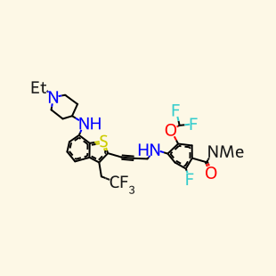 CCN1CCC(Nc2cccc3c(CC(F)(F)F)c(C#CCNc4cc(F)c(C(=O)NC)cc4OC(F)F)sc23)CC1